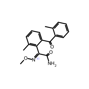 CO/N=C(/C(N)=O)c1c(C)cccc1C(=O)c1ccccc1C